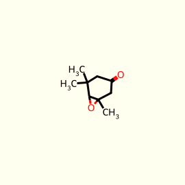 CC1(C)CC(=O)CC2(C)OC12